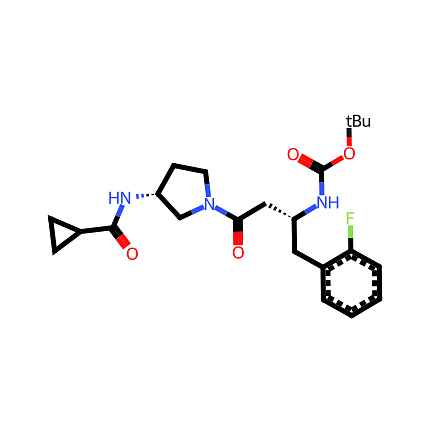 CC(C)(C)OC(=O)N[C@@H](CC(=O)N1CC[C@@H](NC(=O)C2CC2)C1)Cc1ccccc1F